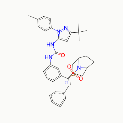 Cc1ccc(-n2nc(C(C)(C)C)cc2NC(=O)Nc2cccc(CC3CC4CCC(C3)N4S(=O)(=O)/C=C/c3ccccc3)c2)cc1